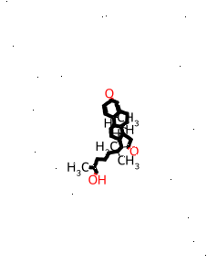 CC(CO)CCC[C@@H](C)[C@H]1C(=O)C[C@H]2[C@@H]3CCC4=CC(=O)C=C[C@]4(C)[C@H]3CC[C@]12C